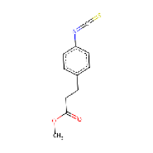 COC(=O)CCc1ccc(N=C=S)cc1